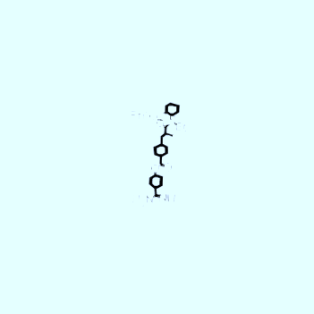 CCOC(=O)c1ccccc1N(CC)C(=O)/C(C)=C/c1ccc(C(=O)Oc2ccc(C(=N)N)cc2)cc1